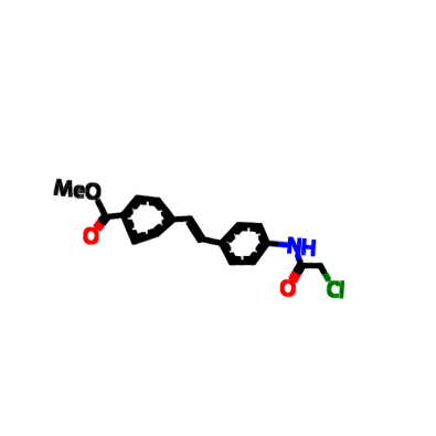 COC(=O)c1ccc(/C=C/c2ccc(NC(=O)CCl)cc2)cc1